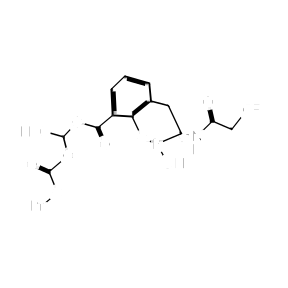 CC(C)OC(=O)OC(C)OC(=O)c1cccc2c1OB(O)[C@@H](NC(=O)CC(F)(F)F)C2